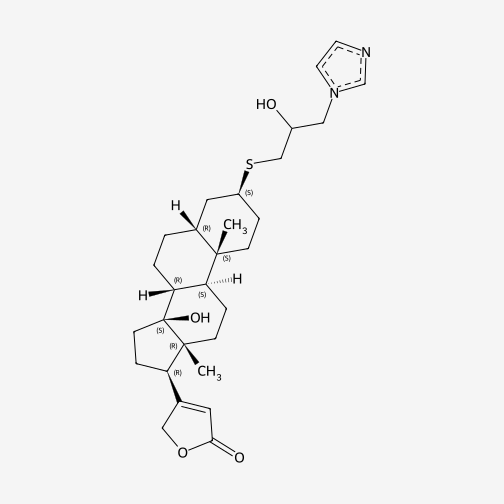 C[C@]12CC[C@H](SCC(O)Cn3ccnc3)C[C@H]1CC[C@@H]1[C@@H]2CC[C@]2(C)[C@@H](C3=CC(=O)OC3)CC[C@]12O